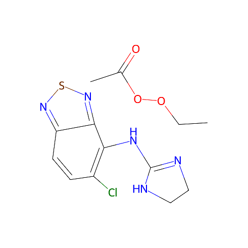 CCOOC(C)=O.Clc1ccc2nsnc2c1NC1=NCCN1